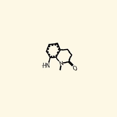 CN1C(=O)CCc2cccc([NH])c21